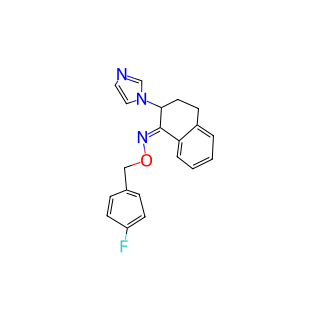 Fc1ccc(CON=C2c3ccccc3CCC2n2ccnc2)cc1